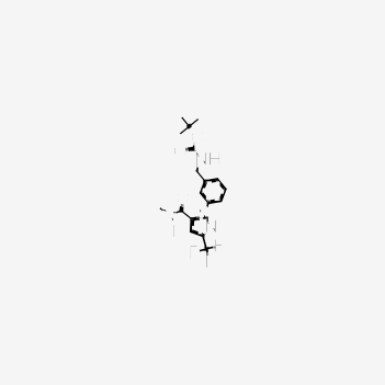 CNC(=O)c1cc(C(F)(F)F)nn1-c1cccc(CNC(=O)OC(C)(C)C)c1